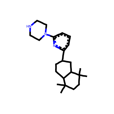 CC1(C)CCC(C)(C)C2CC(c3cccc(N4CCNCC4)n3)CCC21